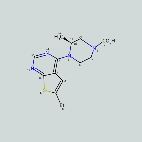 CCc1cc2c(N3CCN(C(=O)O)C[C@@H]3C)ncnc2s1